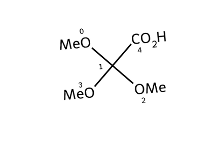 COC(OC)(OC)C(=O)O